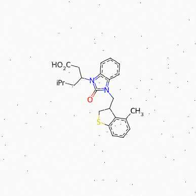 Cc1cccc2c1C(Cn1c(=O)n(C(CC(=O)O)CC(C)C)c3ccccc31)CS2